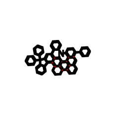 c1ccc(-c2ccc(N(c3ccccc3-c3ccc4c(c3)C(c3ccccc3)(c3ccccc3)c3ccccc3-4)c3ccccc3-c3cccc4cccc(C5CCCCC5)c34)c(-c3ccccc3)c2)cc1